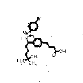 CC(C)(C)CCCC(NS(=O)(=O)c1ccc(Br)cc1)c1ccc(CCCC(=O)O)cc1